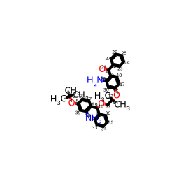 CC(C)(C)Oc1ccc(C(OCC(C)(C)Oc2ccc(C(=O)c3ccccc3)c(N)c2)c2ccccc2)c(N)c1